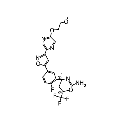 COCCOc1cnc(-c2cc(-c3ccc(F)c([C@]4(C)C[C@@H](C(F)(F)F)OC(N)=N4)c3)on2)cn1